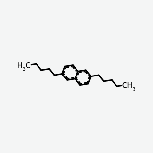 CCCCCc1ccc2cc(CCCCC)ccc2c1